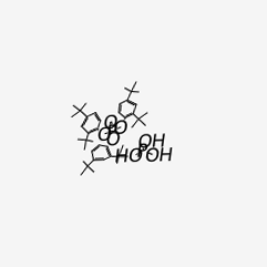 CC(C)(C)c1ccc(OP(=O)(Oc2ccc(C(C)(C)C)cc2C(C)(C)C)Oc2ccc(C(C)(C)C)cc2C(C)(C)C)c(C(C)(C)C)c1.OP(O)O